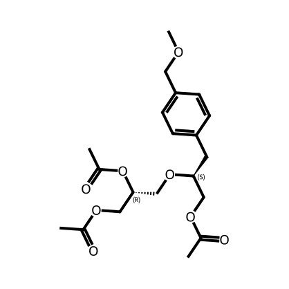 COCc1ccc(C[C@@H](COC(C)=O)OC[C@H](COC(C)=O)OC(C)=O)cc1